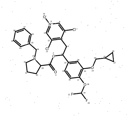 O=C(OC(Cc1c(Cl)c[n+]([O-])cc1Cl)c1ccc(OC(F)F)c(OCC2CC2)c1)C1CCCN1Cc1ccccc1